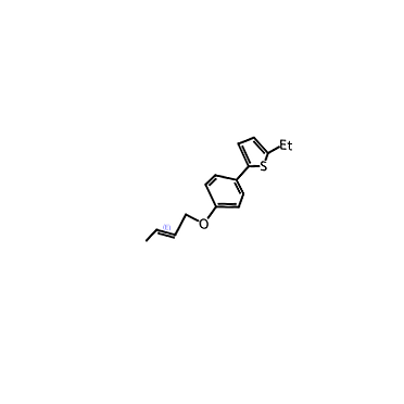 C/C=C/COc1ccc(-c2ccc(CC)s2)cc1